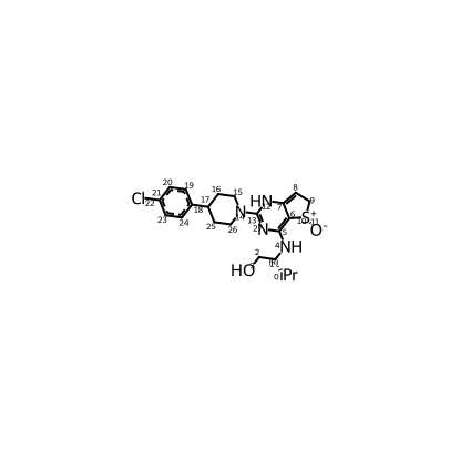 CC(C)[C@H](CO)NC1=C2C(=CC[S+]2[O-])NC(N2CCC(c3ccc(Cl)cc3)CC2)=N1